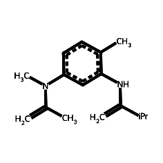 C=C(Nc1cc(N(C)C(=C)C)ccc1C)C(C)C